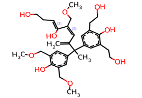 C=C(/C=C(COC)\C(O)=C\CCO)C(C)(c1cc(CCO)c(O)c(CCO)c1)c1cc(COC)c(O)c(COC)c1